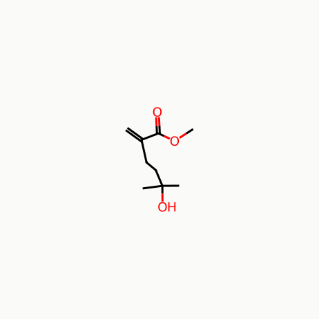 C=C(CCC(C)(C)O)C(=O)OC